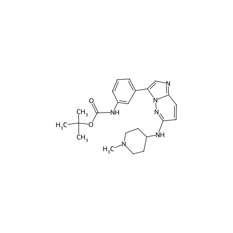 CN1CCC(Nc2ccc3ncc(-c4cccc(NC(=O)OC(C)(C)C)c4)n3n2)CC1